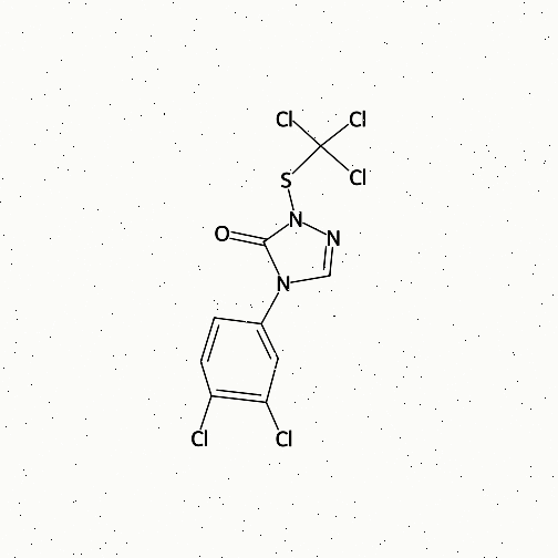 O=c1n(-c2ccc(Cl)c(Cl)c2)cnn1SC(Cl)(Cl)Cl